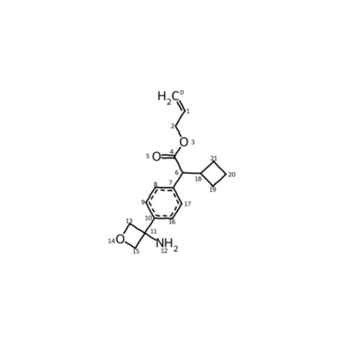 C=CCOC(=O)C(c1ccc(C2(N)COC2)cc1)C1CCC1